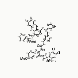 CCCCCC1(c2ccc(Cl)c(Cl)c2)CN(C(=O)[C@@H](Cc2ccc(OC)cc2)NC(=O)CCc2c[nH]cn2)C1.CCCCCC1(c2ccccc2)CN(C(=O)[C@@H](Cc2ccc(F)c(F)c2)NC(=O)CCc2c[nH]cn2)C1